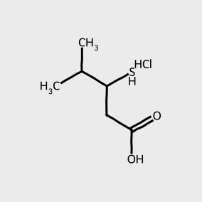 CC(C)C(S)CC(=O)O.Cl